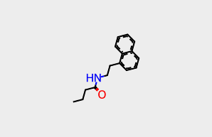 CCCC(=O)NCCc1cccc2ccccc12